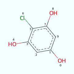 Oc1cc(O)c(Cl)c(O)c1